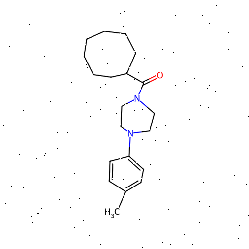 Cc1ccc(N2CCN(C(=O)C3CCCCCCC3)CC2)cc1